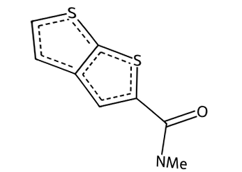 CNC(=O)c1cc2ccsc2s1